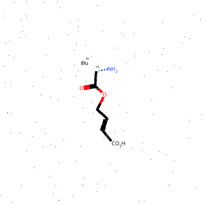 CC[C@H](C)[C@H](N)C(=O)OCC=CC(=O)O